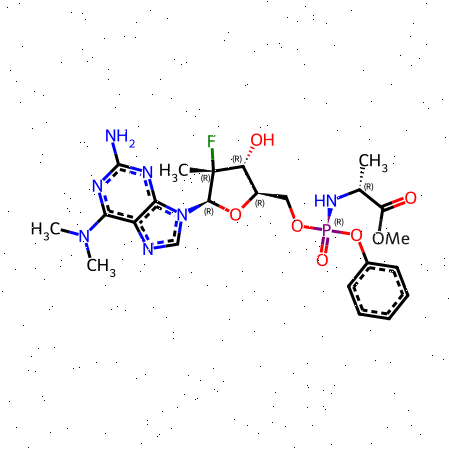 COC(=O)[C@@H](C)N[P@@](=O)(OC[C@H]1O[C@@H](n2cnc3c(N(C)C)nc(N)nc32)[C@](C)(F)[C@@H]1O)Oc1ccccc1